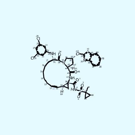 CC1(S(=O)(=O)NC(=O)[C@@]23C[C@H]2/C=C\CCCCC[C@H](Nc2cc(Cl)cc(Cl)c2)C(=O)N2C[C@H](Oc4nc5ccccc5s4)C[C@H]2C(=O)N3)CC1